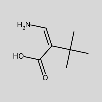 CC(C)(C)C(=CN)C(=O)O